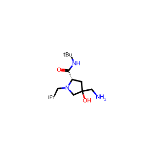 CC(C)CN1CC(O)(CN)C[C@H]1C(=O)NC(C)(C)C